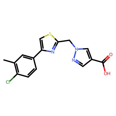 Cc1cc(-c2csc(Cn3cc(C(=O)O)cn3)n2)ccc1Cl